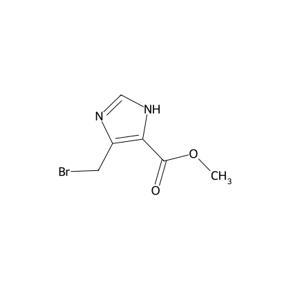 COC(=O)c1[nH]cnc1CBr